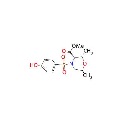 COC(=O)[C@H]1[C@H](C)O[C@@H](C)CN1S(=O)(=O)c1ccc(O)cc1